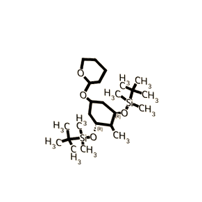 CC1[C@H](O[Si](C)(C)C(C)(C)C)CC(OC2CCCCO2)C[C@H]1O[Si](C)(C)C(C)(C)C